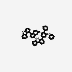 CC1C=Cc2c(-c3cccc4sc5ccccc5c34)ccc(Nc3ccccc3-c3cccc(-c4ccc(C5=CC=CCC5)c(Nc5ccccc5)c4)c3)c2C1